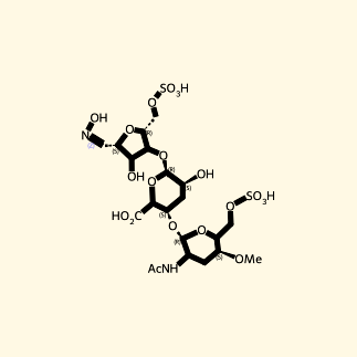 CO[C@H]1CC(NC(C)=O)[C@H](O[C@H]2C[C@H](O)[C@H](OC3C(O)[C@H](/C=N\O)O[C@@H]3COS(=O)(=O)O)OC2C(=O)O)OC1COS(=O)(=O)O